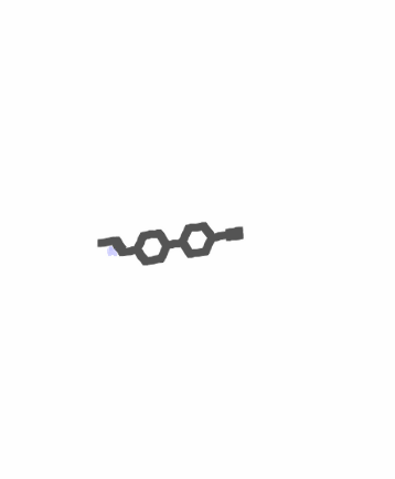 C#CC1CCC(C2CCC(/C=C/C)CC2)CC1